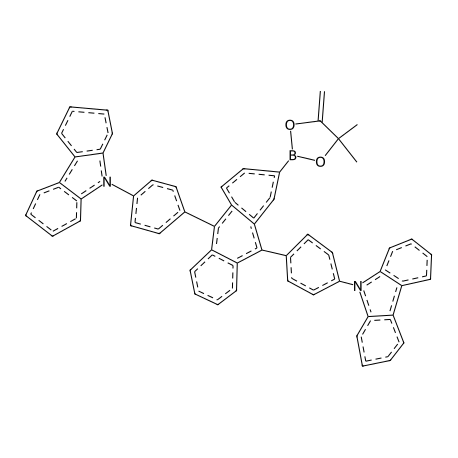 C=C1OB(c2ccc3c(-c4ccc(-n5c6ccccc6c6ccccc65)cc4)c4ccccc4c(-c4ccc(-n5c6ccccc6c6ccccc65)cc4)c3c2)OC1(C)C